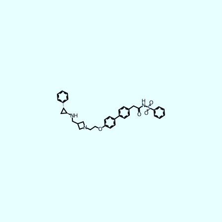 O=C(Cc1ccc(-c2ccc(OCCN3CC(CN[C@H]4C[C@@H]4c4ccccc4)C3)cc2)cc1)NS(=O)(=O)c1ccccc1